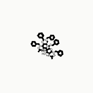 CC(=O)N[C@@H]1[C@@H](OCc2ccccc2)O[C@H](COCc2ccccc2)[C@](O)([C@@H]2O[C@H](COCc3ccccc3)[C@@H](OCc3ccccc3)[C@H](OCc3ccccc3)[C@@H]2NC(C)=O)[C@@H]1O